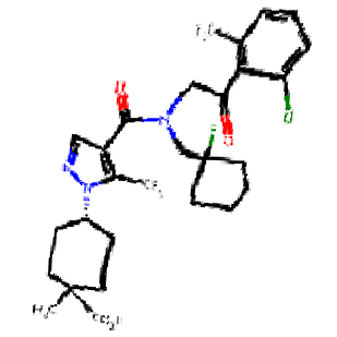 C[C@]1(C(=O)O)CC[C@H](n2ncc(C(=O)N(CC(=O)c3c(Cl)cccc3C(F)(F)F)CC3(F)CCCC3)c2C(F)(F)F)CC1